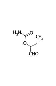 NC(=O)OC(C=O)CC(F)(F)F